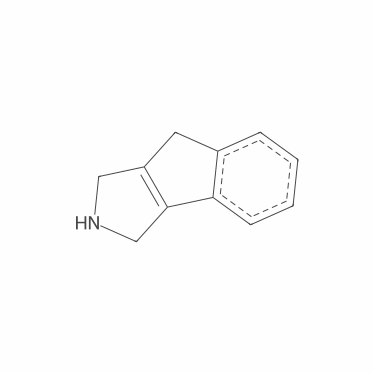 c1ccc2c(c1)CC1=C2CNC1